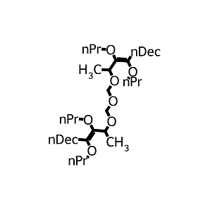 CCCCCCCCCCC(OCCC)=C(OCCC)C(C)OCOCOC(C)C(OCCC)=C(CCCCCCCCCC)OCCC